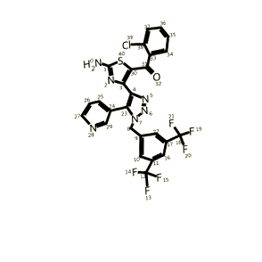 Nc1nc(-c2nnn(Cc3cc(C(F)(F)F)cc(C(F)(F)F)c3)c2-c2cccnc2)c(C(=O)c2ccccc2Cl)s1